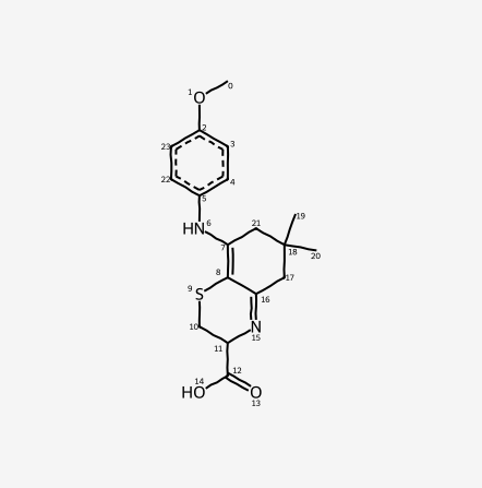 COc1ccc(NC2=C3SCC(C(=O)O)N=C3CC(C)(C)C2)cc1